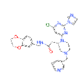 O=C(CC1CN(Cc2cccnc2)CCN1c1cc(Cl)nc(-n2ccnc2)n1)NCc1ccc2c(c1)OCCO2